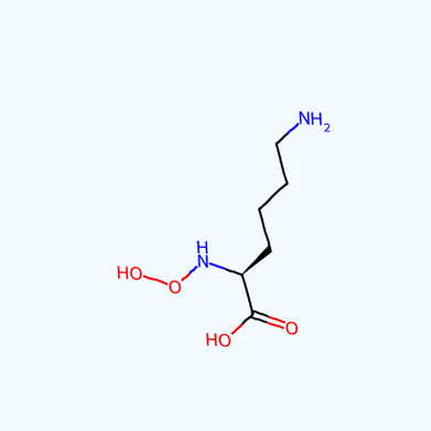 NCCCC[C@H](NOO)C(=O)O